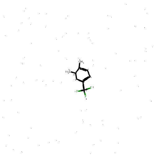 CC1=CC=C(C(F)(F)F)CC1C